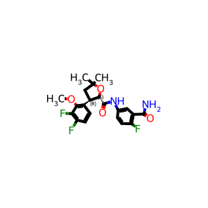 COc1c([C@H]2CC(C)(C)O[C@@H]2C(=O)Nc2ccc(F)c(C(N)=O)c2)ccc(F)c1F